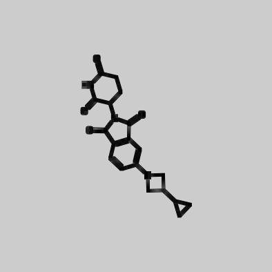 O=C1CCC(N2C(=O)c3ccc(N4CC(C5CC5)C4)cc3C2=O)C(=O)N1